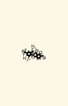 Cc1cc(C(F)(F)F)cc2c(C)n(C(=O)c3c(Cl)ccc(C=O)c3Cl)nc12